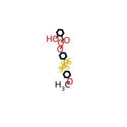 COc1ccc(P2(=S)SP(=S)(c3ccc(OCOC(=O)c4ccccc4O)cc3)S2)cc1